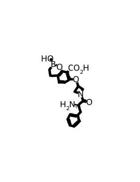 N[C@H](Cc1ccccc1)C(=O)N1CC(Oc2ccc3c(c2C(=O)O)OB(O)CC3)C1